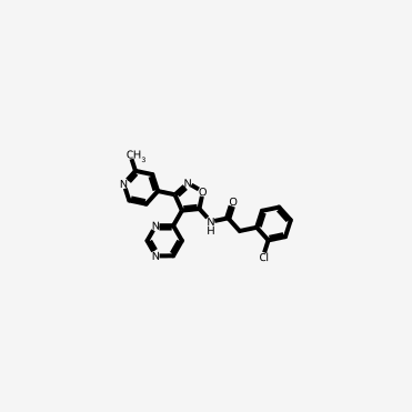 Cc1cc(-c2noc(NC(=O)Cc3ccccc3Cl)c2-c2ccncn2)ccn1